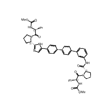 COC(=O)N[C@H](C(=O)N1CCC[C@H]1C(=O)Nc1cccc(-c2ccc(-c3ccc(-c4cnc([C@@H]5CCCN5C(=O)[C@@H](NC(=O)OC)C(C)C)[nH]4)cc3)cc2)c1)C(C)C